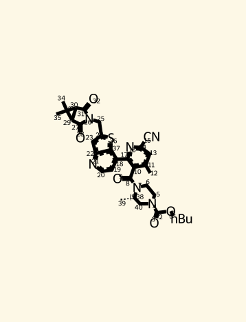 CCCCOC(=O)N1CCN(C(=O)c2c(C)cc(C#N)nc2-c2ccnc3cc(CN4C(=O)C5C(C4=O)C5(C)C)sc23)[C@@H](C)C1